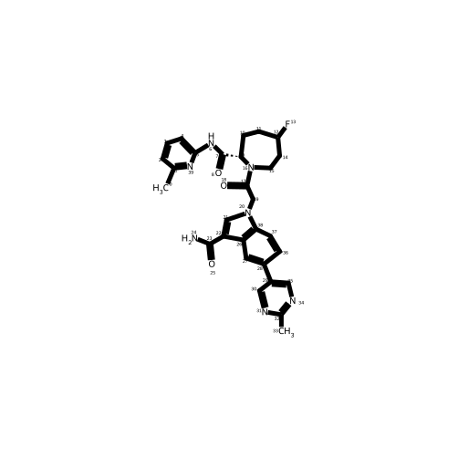 Cc1cccc(NC(=O)[C@@H]2CCC(F)CCN2C(=O)Cn2cc(C(N)=O)c3cc(-c4cnc(C)nc4)ccc32)n1